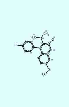 COc1ccc2c(-c3ccc(F)cc3)c(C(C)C)c(Cl)nc2c1